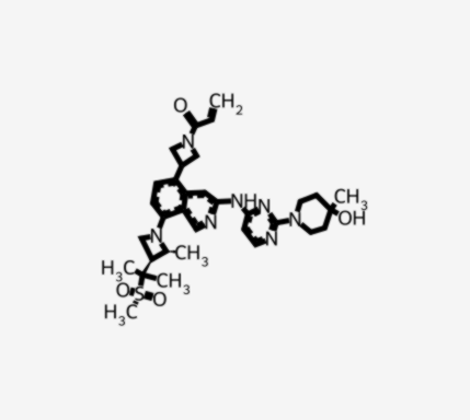 C=CC(=O)N1CC(c2ccc(N3C[C@H](C(C)(C)S(C)(=O)=O)[C@H]3C)c3cnc(Nc4ccnc(N5CCC(C)(O)CC5)n4)cc23)C1